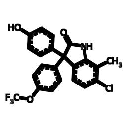 Cc1c(Cl)ccc2c1NC(=O)C2(c1ccc(O)cc1)c1ccc(OC(F)(F)F)cc1